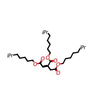 CC(C)CCCCCOC(=O)C=C(CC(=O)OCCCCCC(C)C)C(=O)OCCCCCC(C)C